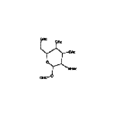 CC(=O)NC1C(OC=O)OC(COC(C)=O)C(OC(C)=O)C1OC(C)=O